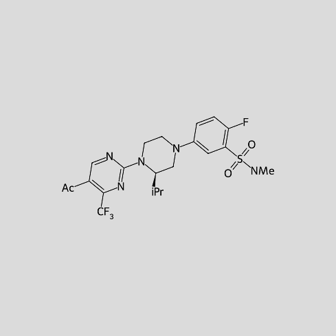 CNS(=O)(=O)c1cc(N2CCN(c3ncc(C(C)=O)c(C(F)(F)F)n3)[C@H](C(C)C)C2)ccc1F